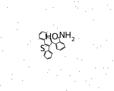 NC(O)c1ccccc1-c1cc2ccccc2c2sc3ccccc3c12